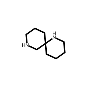 C1CCC2(CCCNC2)NC1